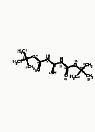 CC(C)(C)OC(=O)NC(S)NC(=O)OC(C)(C)C